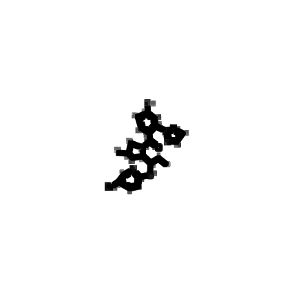 CCC(Oc1ccc(Br)cn1)C1CC(C)CN1C(=O)c1ccc(F)cc1-n1nccn1